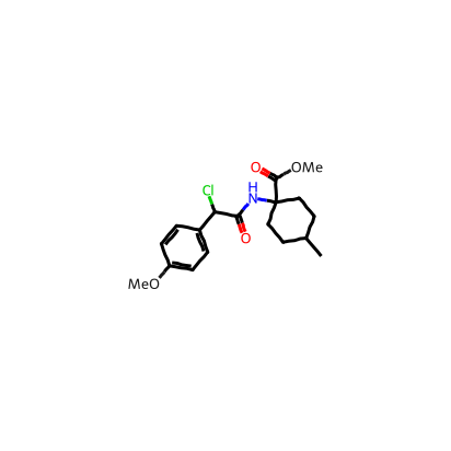 COC(=O)C1(NC(=O)C(Cl)c2ccc(OC)cc2)CCC(C)CC1